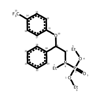 CCOP(=O)(OCC)N(CC)CC(Oc1ccc(C(F)(F)F)cc1)c1ccccc1